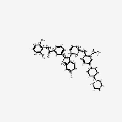 COc1cc(N2CCC(N3CCCCC3)CC2)ccc1Nc1nccc(-c2c(-c3cccc(C(=O)Nc4c(F)cccc4F)c3)nc3cc(F)ccn23)n1